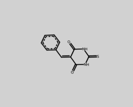 O=C1NC(=S)NC(=O)C1=Cc1ccccc1